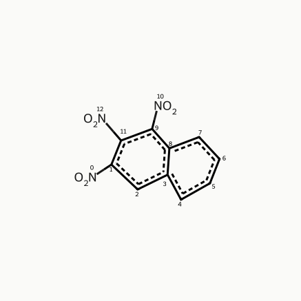 O=[N+]([O-])c1cc2ccccc2c([N+](=O)[O-])c1[N+](=O)[O-]